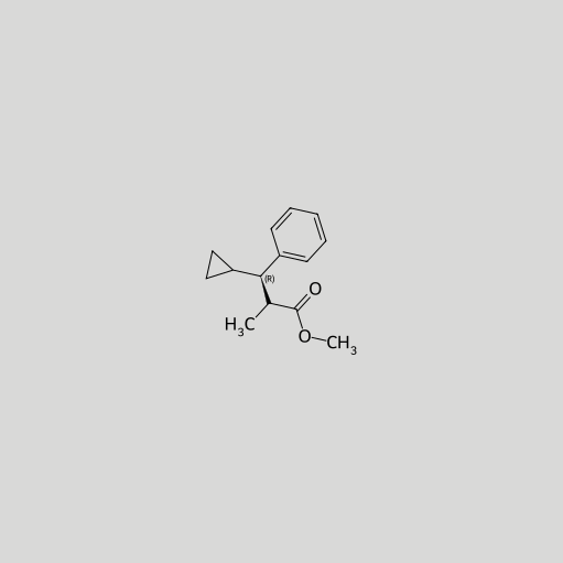 COC(=O)C(C)[C@H](c1ccccc1)C1CC1